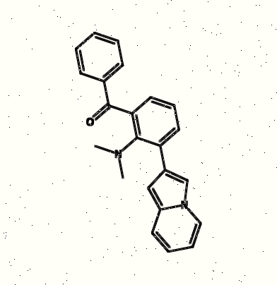 CN(C)c1c(C(=O)c2ccccc2)cccc1-c1cc2ccccn2c1